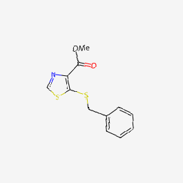 COC(=O)c1ncsc1SCc1ccccc1